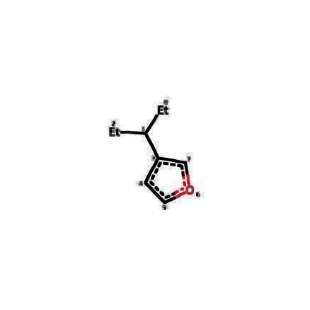 CCC(CC)c1ccoc1